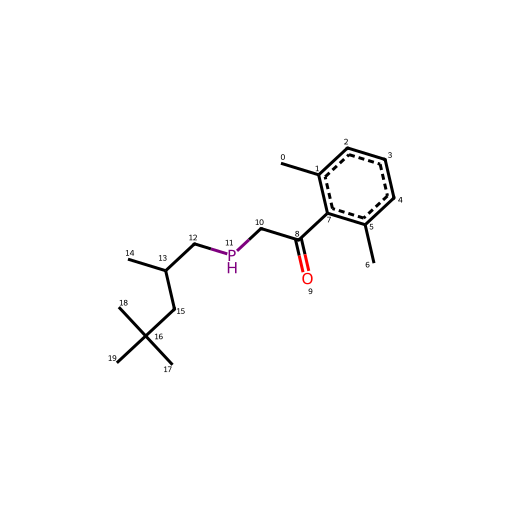 Cc1cccc(C)c1C(=O)CPCC(C)CC(C)(C)C